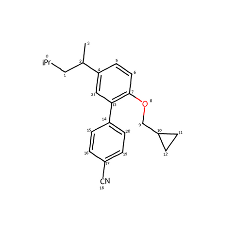 CC(C)CC(C)c1ccc(OCC2CC2)c(-c2ccc(C#N)cc2)c1